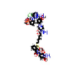 COc1cc(N2CCC(NC(=O)CCCCCCSc3cccc4c3C(=O)N(C3CCC(=O)NC3=O)C4=O)CC2)ccc1Nc1ncc(Cl)c(Nc2ccccc2P(=O)(OC)OC)n1